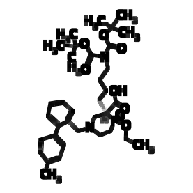 CCOP1(=O)CCN(Cc2ccccc2-c2ccc(C)cc2)C[C@@]1(CCCCN(C(=O)OC(C)(C)C)C(=O)OC(C)(C)C)C(=O)O